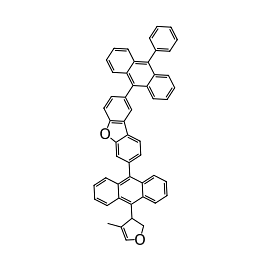 CC1=COCC1c1c2ccccc2c(-c2ccc3c(c2)oc2ccc(-c4c5ccccc5c(-c5ccccc5)c5ccccc45)cc23)c2ccccc12